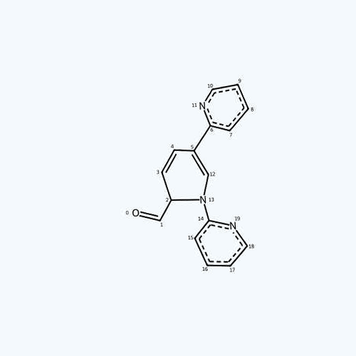 O=CC1C=CC(c2ccccn2)=CN1c1ccccn1